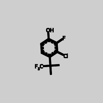 CC(C)(c1ccc(O)c(F)c1Cl)C(F)(F)F